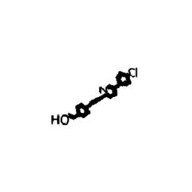 OCCc1ccc(C#Cc2ccc(-c3ccc(Cl)cc3)cn2)cc1